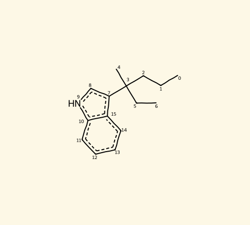 CCCC(C)(CC)c1c[nH]c2ccccc12